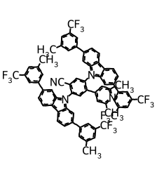 Cc1cc(-c2ccc3c4ccc(-c5cc(C)cc(C(F)(F)F)c5)cc4n(-c4cc(-c5cc(C)nc(C)c5)c(-n5c6cc(-c7cc(C)cc(C(F)(F)F)c7)ccc6c6ccc(-c7cc(C(F)(F)F)cc(C(F)(F)F)c7)cc65)cc4C#N)c3c2)cc(C(F)(F)F)c1